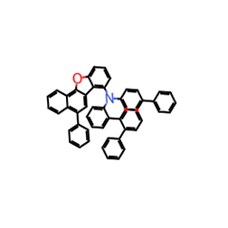 c1ccc(-c2ccc(N(c3ccccc3-c3ccccc3-c3ccccc3)c3cccc4oc5c6ccccc6c(-c6ccccc6)cc5c34)cc2)cc1